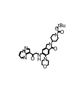 CC(C)(C)OC(=O)N1CCC(N2Cc3cc(NCC(=O)c4cnn5cccnc45)c(N4CCOCC4)cc3C2=O)CC1